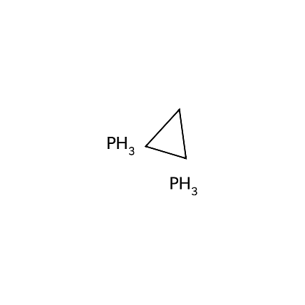 C1CC1.P.P